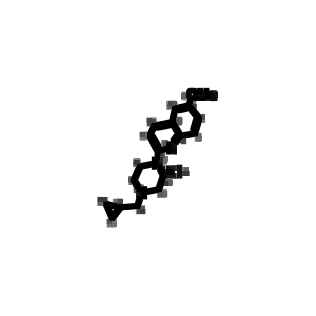 COc1ccc2nc(N3CCN(CC4CC4)CC3)ccc2c1.Cl